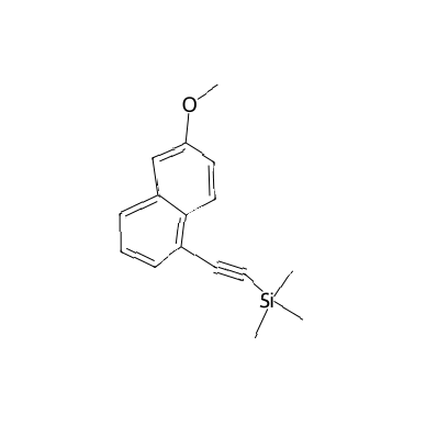 COc1ccc2c(C#C[Si](C)(C)C)cccc2c1